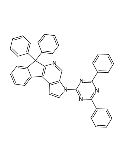 c1ccc(-c2nc(-c3ccccc3)nc(-n3ccc4c5c(ncc43)C(c3ccccc3)(c3ccccc3)c3ccccc3-5)n2)cc1